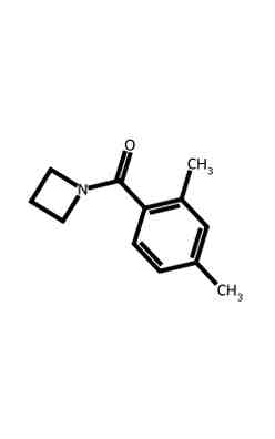 Cc1ccc(C(=O)N2CCC2)c(C)c1